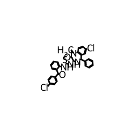 CN1C(=O)C(NC(=S)Nc2ccccc2C(=O)c2ccc(Cl)cc2)N=C(c2ccccc2)c2cc(Cl)ccc21